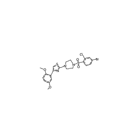 COc1ccc(OC)c(-c2csc(N3CCN(S(=O)(=O)c4ccc(Br)cc4Cl)CC3)n2)c1